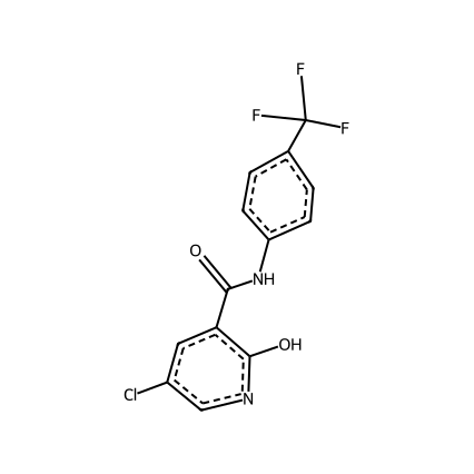 O=C(Nc1ccc(C(F)(F)F)cc1)c1cc(Cl)cnc1O